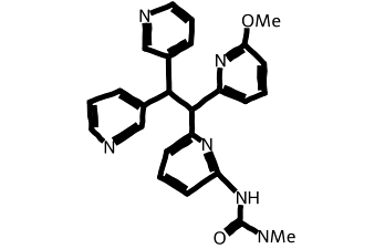 CNC(=O)Nc1cccc(C(c2cccc(OC)n2)C(c2cccnc2)c2cccnc2)n1